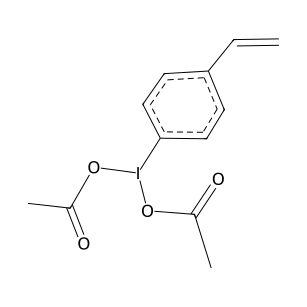 C=Cc1ccc(I(OC(C)=O)OC(C)=O)cc1